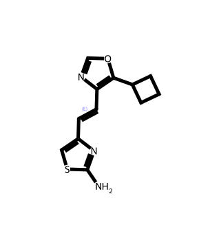 Nc1nc(/C=C/c2ncoc2C2CCC2)cs1